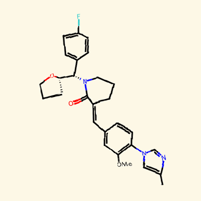 COc1cc(/C=C2\CCCN([C@@H](c3ccc(F)cc3)[C@@H]3CCCO3)C2=O)ccc1-n1cnc(C)c1